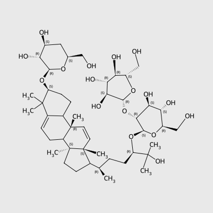 C[C@H](CC[C@@H](O[C@@H]1O[C@H](CO)[C@@H](O)[C@H](O)[C@H]1O[C@H]1O[C@@H](CO)[C@H](O)[C@@H](O)[C@@H]1O)C(C)(C)O)C1CC[C@@]2(C)C3CC=C4C(CC[C@H](O[C@@H]5O[C@H](CO)C[C@H](O)[C@H]5O)C4(C)C)[C@]3(C)C=C[C@]12C